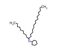 CCCCCCCCCCCCCCCC(CCCCCCCCC)=NC1CCCCC1